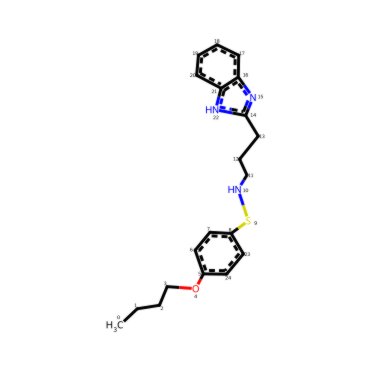 CCCCOc1ccc(SNCCCc2nc3ccccc3[nH]2)cc1